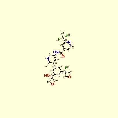 Cc1ncc(NC(=O)c2ccnc(C(C)(F)F)c2)cc1-c1cc(C2(O)COC2)cc(C2(F)COC2)c1